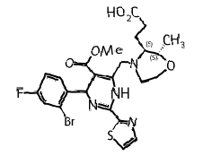 COC(=O)C1=C(CN2CCO[C@@H](C)[C@@H]2CCC(=O)O)NC(c2nccs2)=NC1c1ccc(F)cc1Br